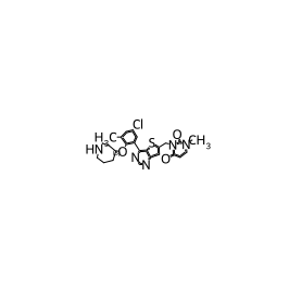 Cc1cc(Cl)cc(-c2ncnc3cc(Cn4c(=O)ccn(C)c4=O)sc23)c1O[C@H]1CCCNCC1